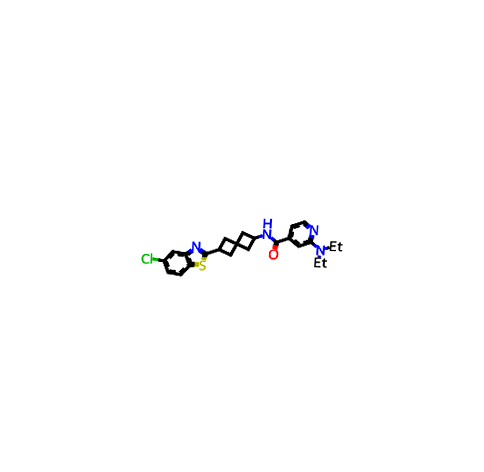 CCN(CC)c1cc(C(=O)NC2CC3(C2)CC(c2nc4cc(Cl)ccc4s2)C3)ccn1